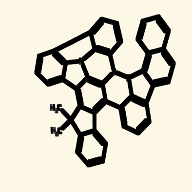 CC1(C)c2ccccc2-c2c3c4c5c(c21)c1cccc2c6cccc(c6n5c21)B4n1c2c-3cccc2c2ccc3ccccc3c21